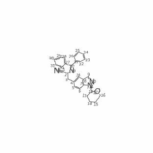 N#CC(Cc1ccc2c(cnn2C2CCCCO2)c1)N=C(c1ccccc1)c1ccccc1